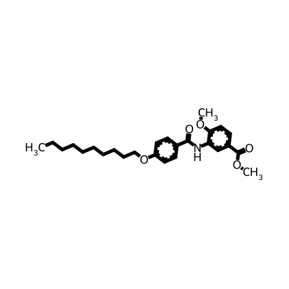 CCCCCCCCCCOc1ccc(C(=O)Nc2cc(C(=O)OC)ccc2OC)cc1